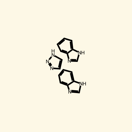 c1c[nH]nn1.c1ccc2[nH]cnc2c1.c1ccc2[nH]cnc2c1